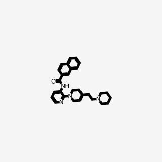 O=C(Nc1cccnc1N1CCC(CCN2CCCCC2)CC1)c1ccc2ccccc2c1